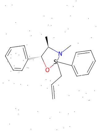 C=CC[Si]1(c2ccccc2)O[C@H](c2ccccc2)[C@@H](C)N1C